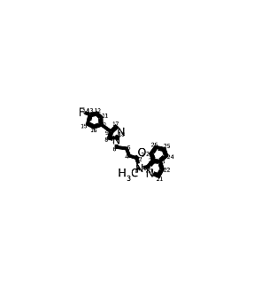 CN(C(=O)CCCn1cc(-c2ccc(F)cc2)cn1)c1nccc2ccccc12